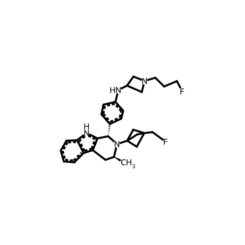 C[C@H]1Cc2c([nH]c3ccccc23)[C@H](c2ccc(NC3CN(CCCF)C3)cc2)N1C12CC(CF)(C1)C2